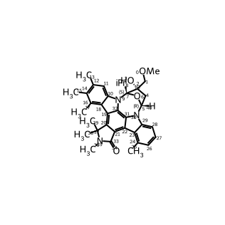 COC[C@@]1(O)C[C@H]2O[C@]1(C(C)C)n1c3cc(C)c(C)c(C)c3c3c4c(c5c6c(C)cccc6n2c5c31)C(=O)N(C)C4(C)C